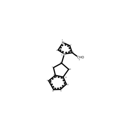 O=Cc1cncn1C1Cc2ccccc2C1